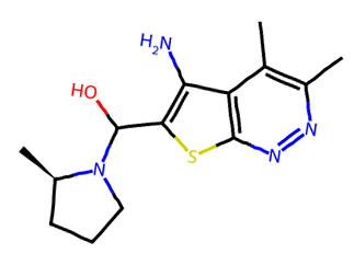 Cc1nnc2sc(C(O)N3CCC[C@H]3C)c(N)c2c1C